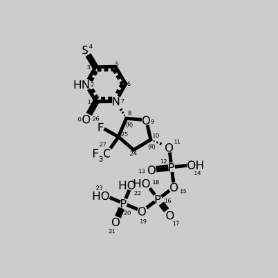 O=c1[nH]c(=S)ccn1[C@@H]1O[C@H](OP(=O)(O)OP(=O)(O)OP(=O)(O)O)CC1(F)C(F)(F)F